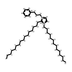 CCCCCCCCCCCCCCCCc1n(CCCCCCCCCCCCCC)cc[n+]1CCCc1ccccc1